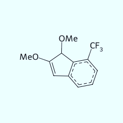 COC1=Cc2cccc(C(F)(F)F)c2C1OC